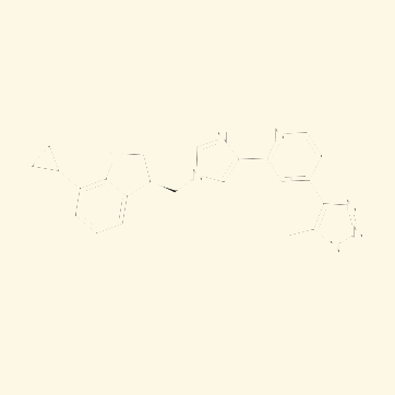 Cc1[nH]nnc1-c1ccnc(-c2cn(C[C@@H]3COc4c(C5CC5)cccc43)cn2)c1